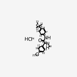 CNC(C(=O)Nc1ccc([Si](C)(C)C)cc1)c1ccc(OC)cc1.Cl